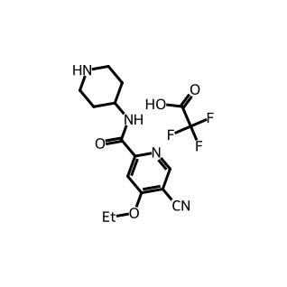 CCOc1cc(C(=O)NC2CCNCC2)ncc1C#N.O=C(O)C(F)(F)F